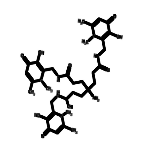 Cc1cc(=O)c(O)c(CNC(=O)CCC(N)(CCC(=O)NCc2c(O)c(=O)cc(C)n2C)CCC(O)NCc2c(O)c(=O)cc(C)n2C)n1C